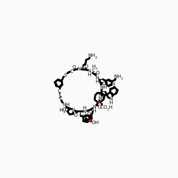 C[C@H]1NC(=O)[C@H](CCCCN)NC(=O)CCSCc2cccc(c2)CSCCNC(=O)[C@]2(C)CCCN2C(=O)[C@H](Cc2ccc(O)cc2)NC(=O)[C@H](Cc2cnc[nH]2)NC(=O)[C@H](CC(=O)O)NC(=O)[C@H](CC2(C3CCCCCCC3)CNc3ccc(F)cc32)NC(=O)[C@H](Cc2cccc(CN)c2)NC1=O